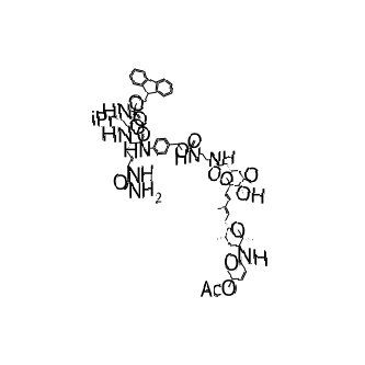 CC(=O)O[C@@H](C)/C=C\C(=O)N[C@@H]1C[C@H](C)[C@H](C/C=C(C)/C=C/[C@H]2O[C@H](CC(=O)NCCNC(=O)OCc3ccc(NC(=O)[C@H](CCCNC(N)=O)NC(=O)[C@@H](NC(=O)OCC4c5ccccc5-c5ccccc54)C(C)C)cc3)C[C@@]3(CO3)[C@@H]2O)O[C@@H]1C